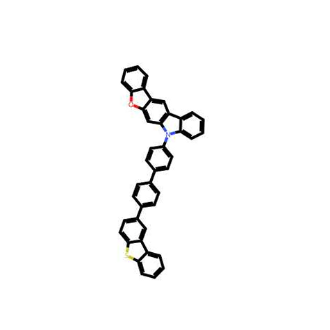 c1ccc2c(c1)oc1cc3c(cc12)c1ccccc1n3-c1ccc(-c2ccc(-c3ccc4sc5ccccc5c4c3)cc2)cc1